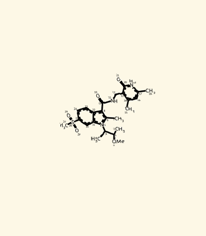 COC(C)C(C)n1c(C)c(C(=O)NCc2c(C)cc(C)[nH]c2=O)c2ccc(S(C)(=O)=O)cc21